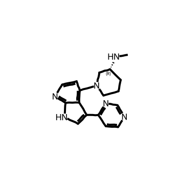 CN[C@@H]1CCCN(c2ccnc3[nH]cc(-c4ccncn4)c23)C1